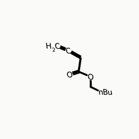 C=C=CC(=O)OCCCCC